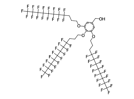 OCc1cc(OCCCC(F)(F)C(F)(F)C(F)(F)C(F)(F)C(F)(F)C(F)(F)C(F)(F)C(F)(F)F)c(OCCCC(F)(F)C(F)(F)C(F)(F)C(F)(F)C(F)(F)C(F)(F)C(F)(F)C(F)(F)F)c(OCCCC(F)(F)C(F)(F)C(F)(F)C(F)(F)C(F)(F)C(F)(F)C(F)(F)C(F)(F)F)c1